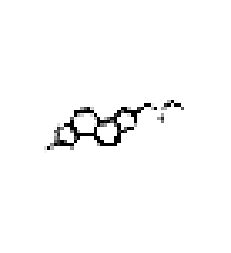 CCPCc1cc2c(ccc3c4cc(C)sc4ccc23)s1